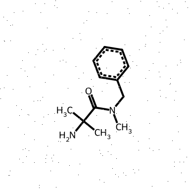 CN(Cc1ccccc1)C(=O)C(C)(C)N